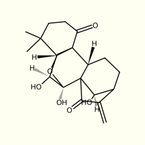 C=C1C(=O)C23[C@H](O)C1CC[C@H]2C12CO[C@@]3(O)[C@@H](O)[C@@H]1C(C)(C)CCC2=O